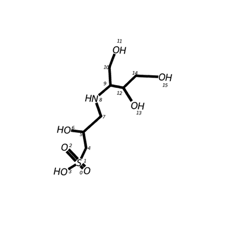 O=S(=O)(O)CC(O)CNC(CO)C(O)CO